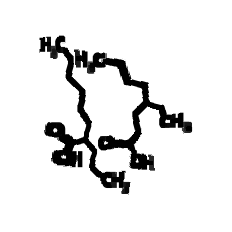 CCCCC(CC)CCC(=O)O.CCCCCCC(CCC)C(=O)O